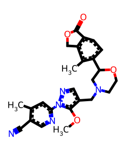 COc1c(CN2CCOC(c3ccc4c(c3C)COC4=O)C2)cnn1-c1cc(C)c(C#N)cn1